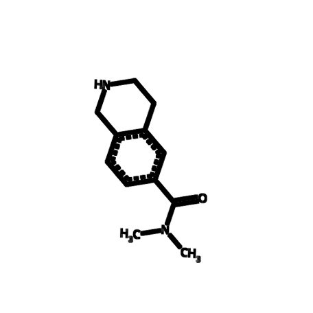 CN(C)C(=O)c1ccc2c(c1)CCNC2